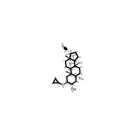 C[C@]12C[C@H](OC3CC3)[C@@H](O)C[C@@H]1CC[C@@H]1[C@@H]2CC[C@]2(C)[C@H](C#N)CC[C@@H]12